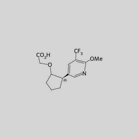 COc1ncc([C@H]2CCCC2OCC(=O)O)cc1C(F)(F)F